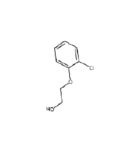 OCCOc1ccccc1Cl